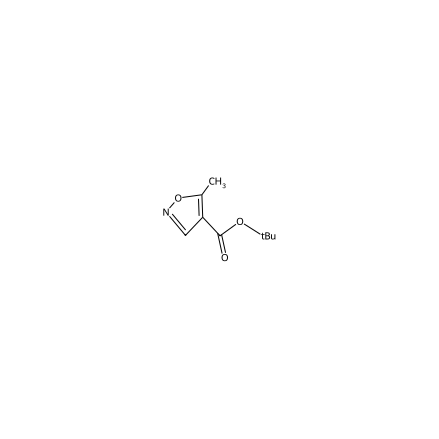 Cc1oncc1C(=O)OC(C)(C)C